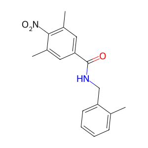 Cc1ccccc1CNC(=O)c1cc(C)c([N+](=O)[O-])c(C)c1